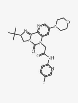 CC(C)(C)C1CN2C(=O)N(CC(=O)Nc3ccc(F)cn3)c3cc(N4CCOCC4)cnc3C2=N1